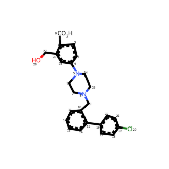 O=C(O)c1ccc(N2CCN(Cc3ccccc3-c3ccc(Cl)cc3)CC2)cc1CO